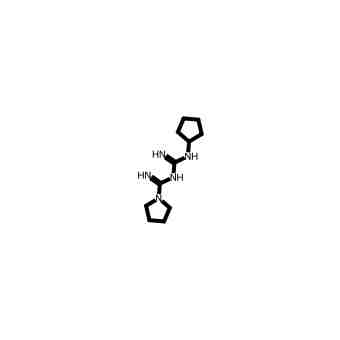 N=C(NC(=N)N1CCCC1)NC1CCCC1